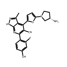 Cc1n[nH]c2nc(-c3ccc(O)cc3F)c(C#N)c(-c3ccc(N4CC[C@H](N)C4)o3)c12